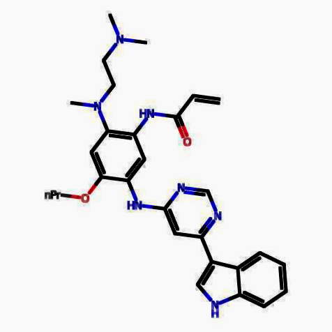 C=CC(=O)Nc1cc(Nc2cc(-c3c[nH]c4ccccc34)ncn2)c(OCCC)cc1N(C)CCN(C)C